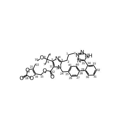 CCCc1nc(C(C)(C)OC)c(C(=O)OCc2oc(=O)oc2C)n1Cc1ccc(-c2ccccc2-c2nnn[nH]2)cc1